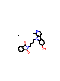 Cc1nccc2c3ccc(O)cc3n(CCCCN3C(=O)c4ccccc4C3=O)c12